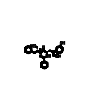 O=C(N[C@@H](Cc1c[nH]c2ccc(O)cc12)C(=O)N[C@@H](CO)Cc1ccccc1)c1ccccc1